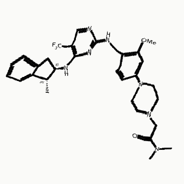 COc1cc(N2CCN(CC(=O)N(C)C)CC2)ccc1Nc1ncc(C(F)(F)F)c(N[C@@H]2Cc3ccccc3[C@H]2C)n1